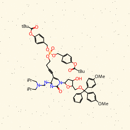 COc1ccc(C(OCC2OC(n3cc(C#CCCOP(=O)(OCc4ccc(OC(=O)C(C)(C)C)cc4)OCc4ccc(OC(=O)C(C)(C)C)cc4)c(/N=C/N(CC(C)C)CC(C)C)nc3=O)CC2O)(c2ccccc2)c2ccc(OC)cc2)cc1